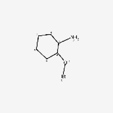 CCOC1CCCCC1N